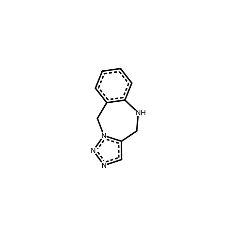 c1ccc2c(c1)Cn1nncc1CN2